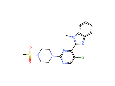 Cn1c(-c2nc(N3CCN(S(C)(=O)=O)CC3)ncc2Cl)nc2ccccc21